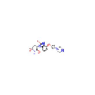 Cn1c(=O)n(C2CCC(=O)NC2=O)c2cccc(OC3CC(N4CCNCC4)C3)c21